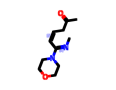 C/N=C(\C=C/CC(C)=O)N1CCOCC1